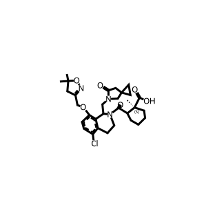 CC1(C)CC(COc2ccc(Cl)c3c2C(CN2CC4(CC4)CC2=O)N(C(=O)C2CCCC[C@]2(C)C(=O)O)CC3)=NO1